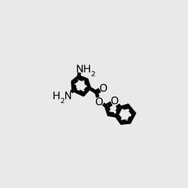 Nc1cc(N)cc(C(=O)Oc2cc3ccccc3o2)c1